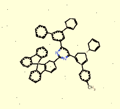 Cc1ccc(C2=C[C@@H](C3C=CC=CC3)CC(c3cc(-c4cc(C5=CC=CCC5)cc(-c5ccccc5)c4)nc(C4C=CC5=C(C4)C4(c6ccccc65)c5ccccc5-c5ccccc54)n3)=C2)cc1